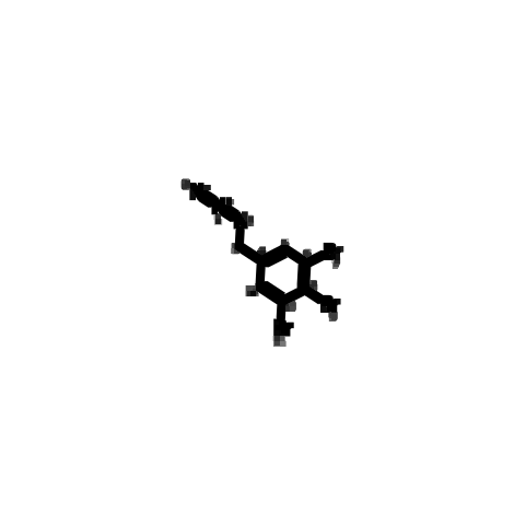 [N-]=[N+]=NCc1cc(Br)c(Br)c(Br)c1